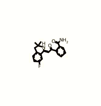 CC1(C)Cc2ccc(F)cc2/C(=C/C(=O)c2ccccc2C(N)=O)N1